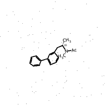 CC(=O)N(C)[C@@H](C)Cc1cccc(-c2ccccc2)c1